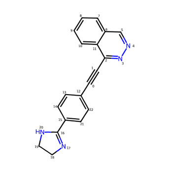 C(#Cc1nncc2ccccc12)c1ccc(C2=NCCN2)cc1